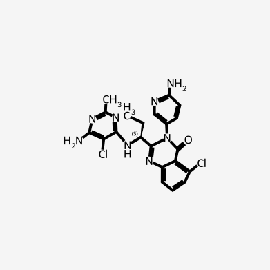 CC[C@H](Nc1nc(C)nc(N)c1Cl)c1nc2cccc(Cl)c2c(=O)n1-c1ccc(N)nc1